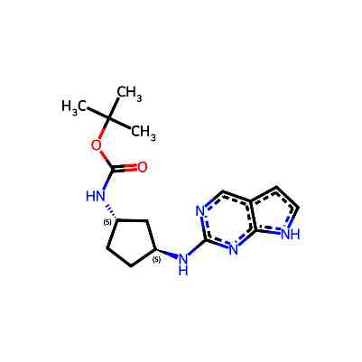 CC(C)(C)OC(=O)N[C@H]1CC[C@H](Nc2ncc3cc[nH]c3n2)C1